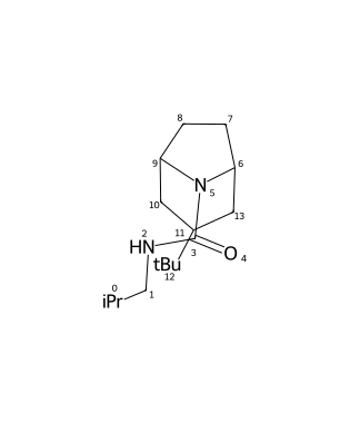 CC(C)CNC(=O)N1C2CCC1CC(C(C)(C)C)C2